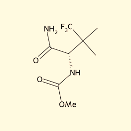 COC(=O)N[C@H](C(N)=O)C(C)(C)C(F)(F)F